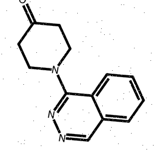 O=C1CCN(c2nncc3ccccc23)CC1